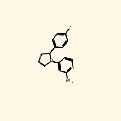 Nc1cc(N2CCCC2c2ccc(F)cc2)ccn1